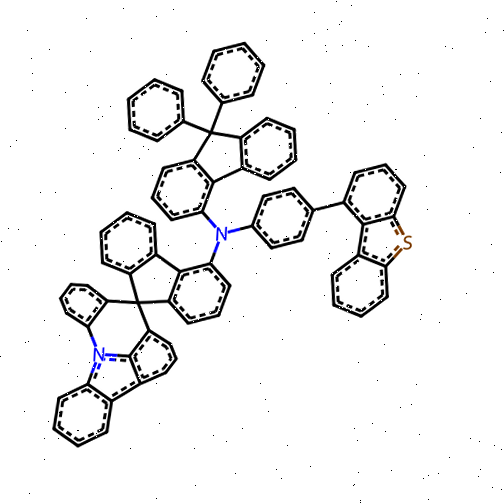 c1ccc(C2(c3ccccc3)c3ccccc3-c3c(N(c4ccc(-c5cccc6sc7ccccc7c56)cc4)c4cccc5c4-c4ccccc4C54c5ccccc5-n5c6ccccc6c6cccc4c65)cccc32)cc1